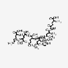 CC(C)CC(N)C(=O)O.CC(C)CC(N)C(=O)O.CSCCC(N)C(=O)O.NC(=O)CCC(N)C(=O)O.NC(CCC(=O)O)C(=O)O.NCCCCC(N)C(=O)O.O=C(O)[C@@H]1CCCN1